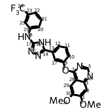 COc1cc2ncnc(Oc3cccc(-c4nnc(Nc5cccc(C(F)(F)F)c5)[nH]4)c3)c2cc1OC